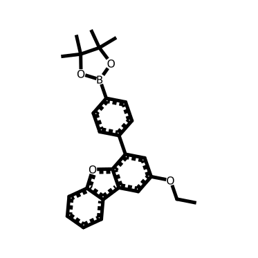 CCOc1cc(-c2ccc(B3OC(C)(C)C(C)(C)O3)cc2)c2oc3ccccc3c2c1